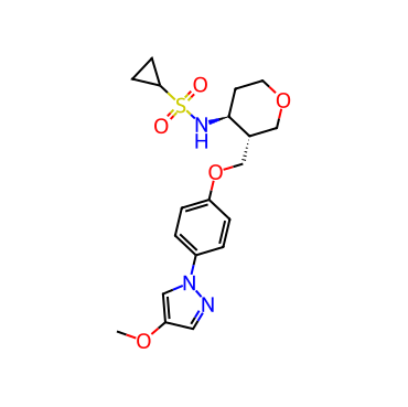 COc1cnn(-c2ccc(OC[C@H]3COCC[C@@H]3NS(=O)(=O)C3CC3)cc2)c1